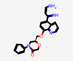 N=C(/C=C\N)c1ccc(OC[C@@H]2CN(c3ccccc3)C(=O)CO2)c2ncccc12